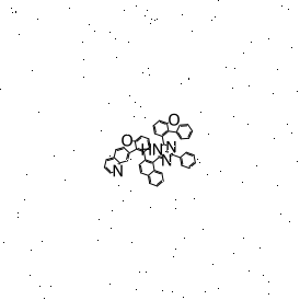 c1ccc(C2=NC(c3cccc4oc5ccccc5c34)NC(c3c(-c4cccc5oc6cc7cccnc7cc6c45)ccc4ccccc34)=N2)cc1